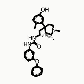 Cc1ccc(O)cc1C1(CCNC(=O)Nc2cccc(Oc3ccccc3)c2)CCN(C)[C@H](C)[C@@H]1C